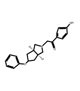 O=C(CN1C[C@H]2CC(Oc3ccccc3)C[C@H]2C1)c1ccc(O)cc1